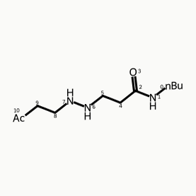 CCCCNC(=O)CCNNCCC(C)=O